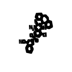 NC(=S)N(Nc1ncc(S(=O)(=O)N(CCO)Cc2ccccc2)cc1Cl)C1c2ccccc2CCc2ccccc21